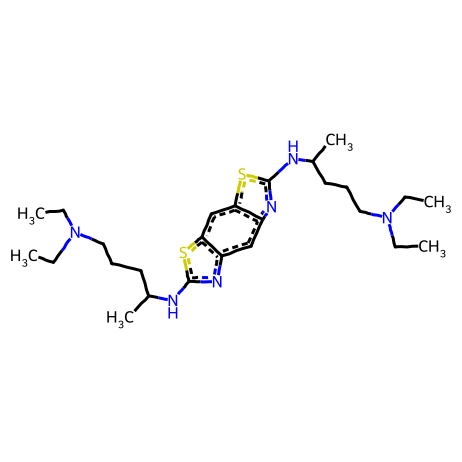 CCN(CC)CCCC(C)Nc1nc2cc3nc(NC(C)CCCN(CC)CC)sc3cc2s1